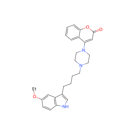 CCOc1ccc2[nH]cc(CCCCN3CCN(c4cc(=O)oc5ccccc45)CC3)c2c1